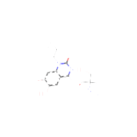 CC(N)(CO)CO.Cc1nc(=O)n(CCC(=O)O)c2cc(O)c(O)cc12